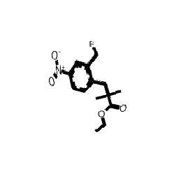 CCOC(=O)C(C)(C)Cc1ccc([N+](=O)[O-])cc1CF